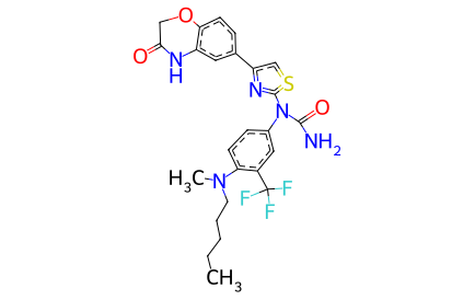 CCCCCN(C)c1ccc(N(C(N)=O)c2nc(-c3ccc4c(c3)NC(=O)CO4)cs2)cc1C(F)(F)F